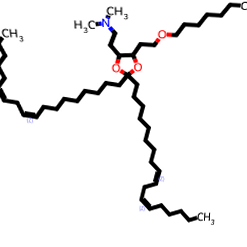 CCCCC/C=C\C/C=C\CCCCCCCCC1(CCCCCCCC/C=C\C/C=C\CCCCC)OC(CCOCCCCCCC)C(CCN(C)C)O1